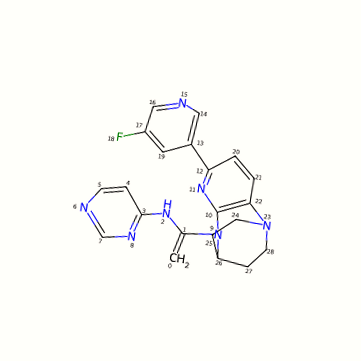 C=C(Nc1ccncn1)N1c2nc(-c3cncc(F)c3)ccc2N2CCC1CC2